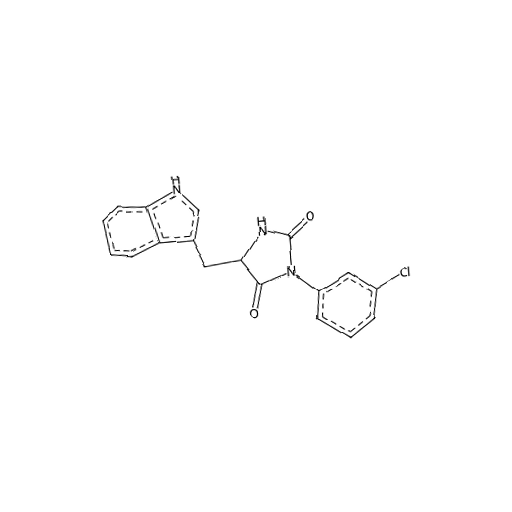 O=C1NC(Cc2c[nH]c3ccccc23)C(=O)N1c1cccc(Cl)c1